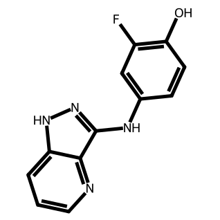 Oc1ccc(Nc2n[nH]c3cccnc23)cc1F